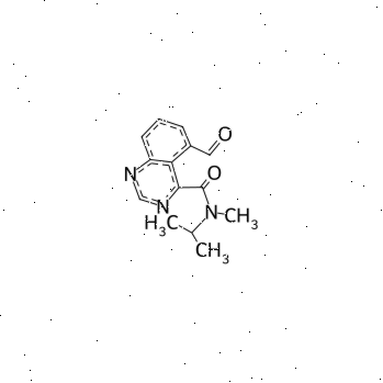 CC(C)N(C)C(=O)c1ncnc2cccc(C=O)c12